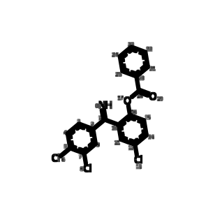 N=C(c1ccc(Cl)c(Cl)c1)c1cc(Cl)ccc1OC(=O)c1ccccc1